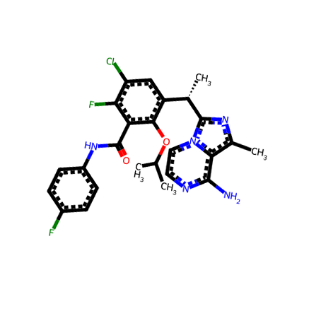 Cc1nc([C@@H](C)c2cc(Cl)c(F)c(C(=O)Nc3ccc(F)cc3)c2OC(C)C)n2ccnc(N)c12